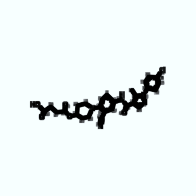 Cc1c(C(=O)Nc2ccc(N3CCC(OC(=O)CCC(=O)O)CC3)c(C#N)c2)cnn1-c1ccc(Cl)cc1